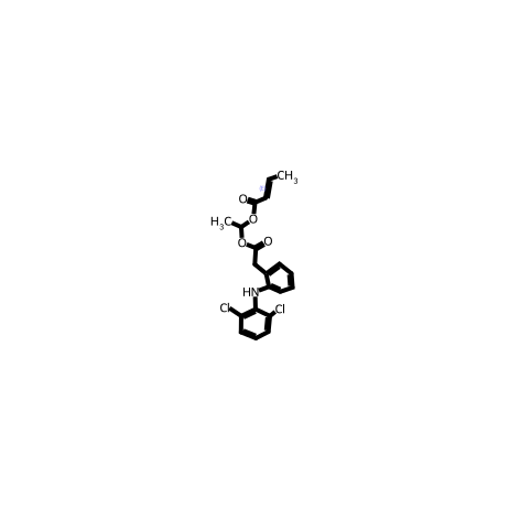 C/C=C/C(=O)OC(C)OC(=O)Cc1ccccc1Nc1c(Cl)cccc1Cl